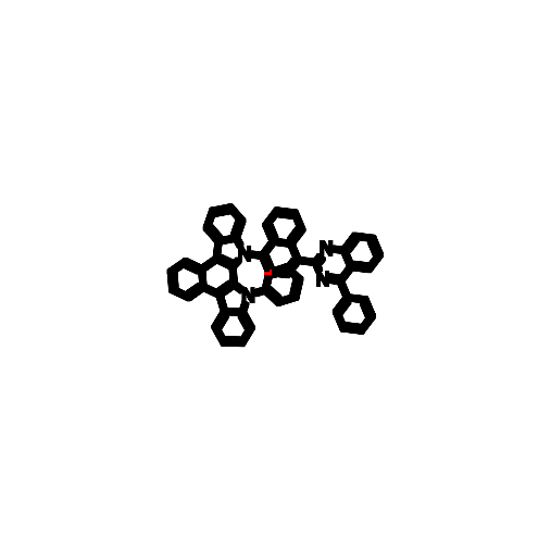 c1ccc(-c2nc(-c3ccc(-n4c5ccccc5c5c6ccccc6c6c7ccccc7n(-c7ccccc7)c6c54)c4ccccc34)nc3ccccc23)cc1